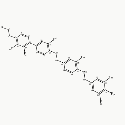 CCCc1ccc(-c2ccc(CCc3ccc(OCc4cc(F)c(F)c(F)c4)c(F)c3)c(F)c2)c(F)c1F